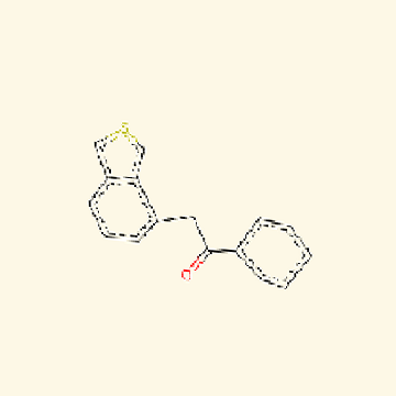 O=C(Cc1cccc2cscc12)c1ccccc1